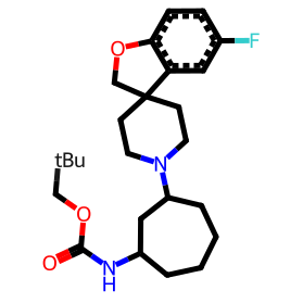 CC(C)(C)COC(=O)NC1CCCCC(N2CCC3(CC2)COc2ccc(F)cc23)C1